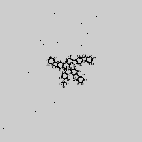 Cc1cc(-c2cc3c(cc2Nc2ccc(C(C)(C)C)cc2)oc2ccccc23)c2c3c1c1cc4oc5ccccc5c4cc1n3-c1cc3c(cc1B2)sc1ccccc13